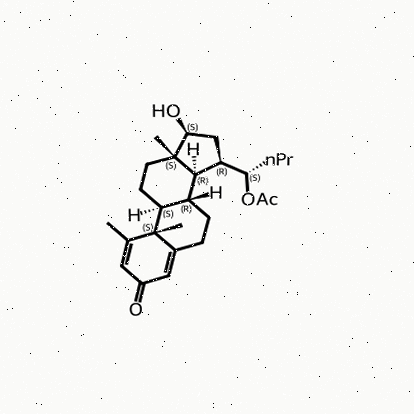 CCC[C@H](OC(C)=O)[C@@H]1C[C@H](O)[C@@]2(C)CC[C@H]3[C@@H](CCC4=CC(=O)C=C(C)[C@@]43C)[C@H]12